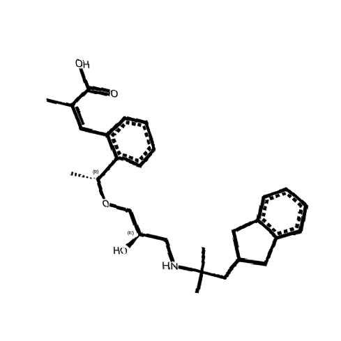 CC(=Cc1ccccc1[C@@H](C)OC[C@H](O)CNC(C)(C)CC1Cc2ccccc2C1)C(=O)O